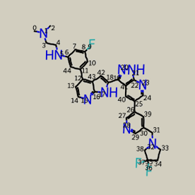 CN(C)CCNc1cc(F)cc(-c2ccnc3[nH]c(-c4n[nH]c5ncc(-c6cncc(CN7CCC(F)(F)C7)c6)cc45)cc23)c1